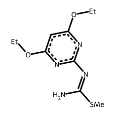 CCOc1cc(OCC)nc(N=C(N)SC)n1